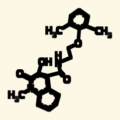 Cc1cccc(C)c1OCCNC(=O)c1c(O)c(=O)n(C)c2ccccc12